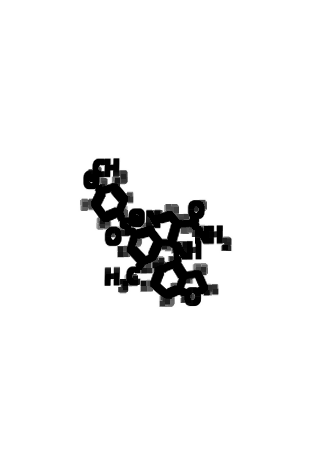 COc1ccc(S(=O)(=O)c2cc(C)cc3c(Nc4cccc5c4CCO5)c(C(N)=O)cnc23)cc1